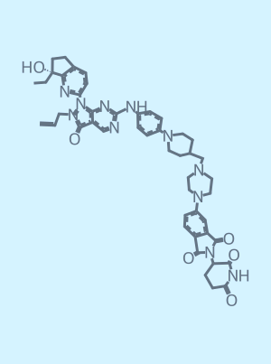 C=CCn1c(=O)c2cnc(Nc3ccc(N4CCC(CN5CCN(c6ccc7c(c6)C(=O)N(C6CCC(=O)NC6=O)C7=O)CC5)CC4)cc3)nc2n1-c1ccc2c(n1)[C@@](O)(CC)CC2